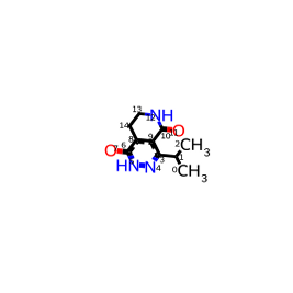 CC(C)c1n[nH]c(=O)c2c1C(=O)NCC2